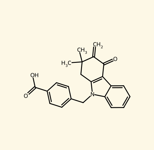 C=C1C(=O)c2c(n(Cc3ccc(C(=O)O)cc3)c3ccccc23)CC1(C)C